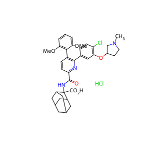 COc1cccc(OC)c1-c1ccc(C(=O)NC2(C(=O)O)C3CC4CC(C3)CC2C4)nc1-c1ccc(Cl)c(OC2CCN(C)C2)c1.Cl